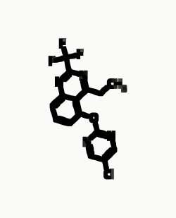 CCc1nc(C(F)(F)F)nc2cccc(Oc3ncc(Cl)cn3)c12